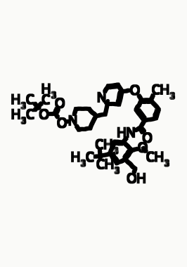 COc1c(CO)cc(C(C)(C)C)cc1NC(=O)c1ccc(C)c(Oc2ccnc(CC3CCN(OC(=O)OC(C)(C)C)CC3)c2)c1